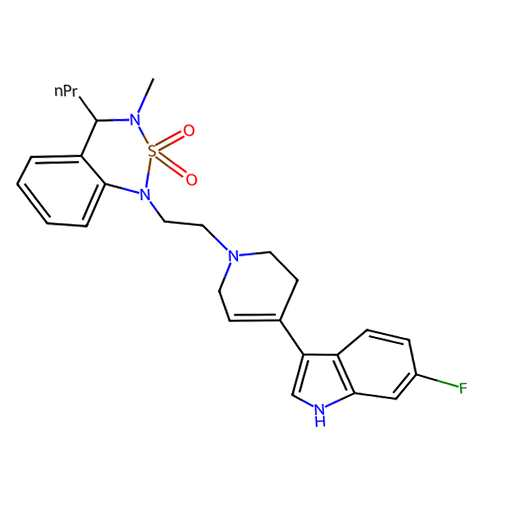 CCCC1c2ccccc2N(CCN2CC=C(c3c[nH]c4cc(F)ccc34)CC2)S(=O)(=O)N1C